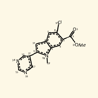 COC(=O)c1cc2c(cc1Cl)cc(-c1cncnc1)n2C